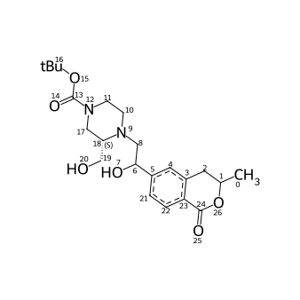 CC1Cc2cc(C(O)CN3CCN(C(=O)OC(C)(C)C)C[C@H]3CO)ccc2C(=O)O1